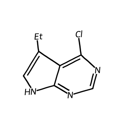 CCc1c[nH]c2ncnc(Cl)c12